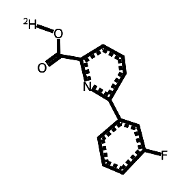 [2H]OC(=O)c1cccc(-c2cccc(F)c2)n1